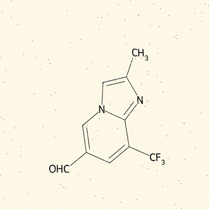 Cc1cn2cc(C=O)cc(C(F)(F)F)c2n1